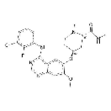 CNC(=O)[C@@H]1C[C@@H](Oc2cc3c(Nc4cccc(Cl)c4F)ncnc3cc2OC)CCN1C